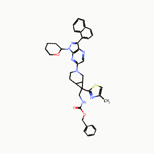 Cc1csc(C2(CNC(=O)OCc3ccccc3)C3CCN(c4cnc5c(-c6cccc7ccccc67)nn(C6CCCCO6)c5n4)CC32)n1